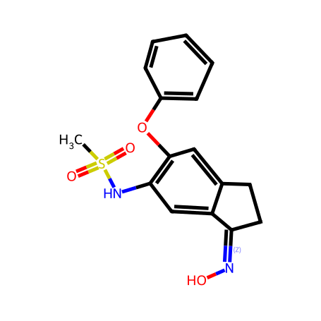 CS(=O)(=O)Nc1cc2c(cc1Oc1ccccc1)CC/C2=N/O